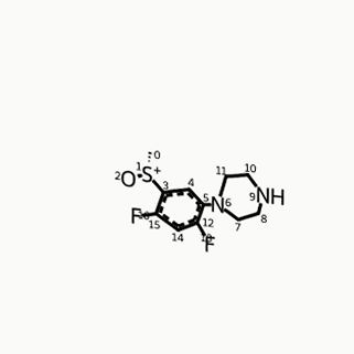 C[S@@+]([O-])c1cc(N2CCNCC2)c(F)cc1F